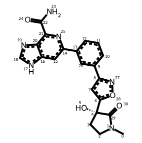 CN1CC[C@@](O)(c2cc(-c3cccc(-c4cc5[nH]cnc5c(C(N)=O)n4)c3)no2)C1=O